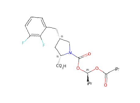 CC(C)C(=O)O[C@H](OC(=O)N1C[C@@H](Cc2cccc(F)c2F)C[C@H]1C(=O)O)C(C)C